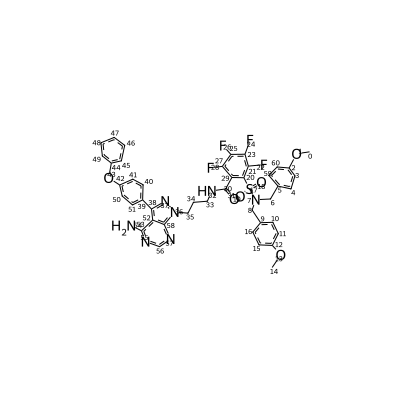 COc1ccc(CN(Cc2ccc(OC)cc2)S(=O)(=O)c2c(F)c(F)c(F)c(F)c2C(=O)NCCCn2nc(-c3ccc(Oc4ccccc4)cc3)c3c(N)ncnc32)cc1